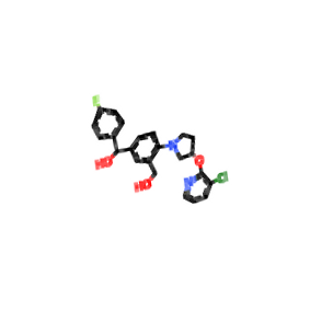 OCc1cc(C(O)c2ccc(F)cc2)ccc1N1CC[C@H](Oc2ncccc2Cl)C1